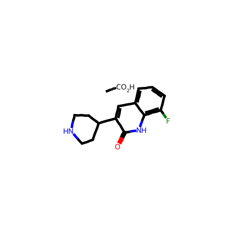 CC(=O)O.O=c1[nH]c2c(F)cccc2cc1C1CCNCC1